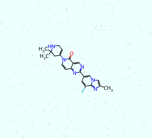 Cc1cn2cc(-c3ncc4c(=O)n(C5=CCNC(C)(C)C5)ccc4n3)cc(F)c2n1